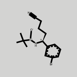 CC(C)(C)[S+]([O-])N[C@@H](CCCC#N)c1cccc(Br)c1